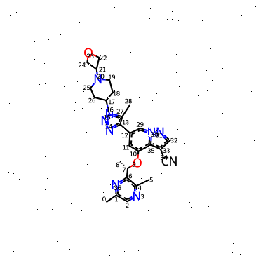 Cc1cnc(C)c([C@H](C)Oc2cc(-c3nnn(C4CCN(C5COC5)CC4)c3C)cn3ncc(C#N)c23)n1